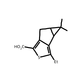 CCc1sc(C(=O)O)c2c1C1C(C2)C1(C)C